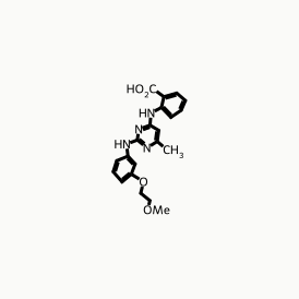 COCCOc1cccc(Nc2nc(C)cc(Nc3ccccc3C(=O)O)n2)c1